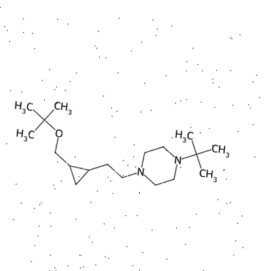 CC(C)(C)OCC1CC1CCN1CCN(C(C)(C)C)CC1